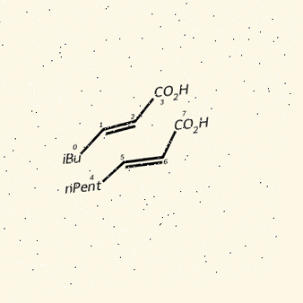 CCC(C)C=CC(=O)O.CCCCCC=CC(=O)O